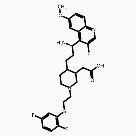 COc1ccc2ncc(F)c([C@H](N)CCC3CCN(CCSc4cc(F)ccc4F)CC3CC(=O)O)c2c1